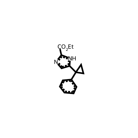 CCOC(=O)c1ncc(C2(c3ccccc3)CC2)[nH]1